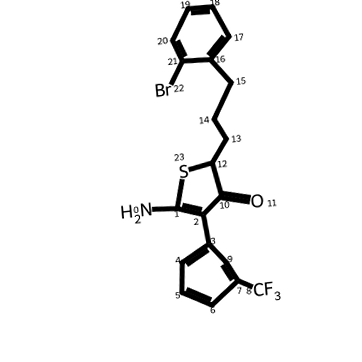 NC1=C(c2cccc(C(F)(F)F)c2)C(=O)C(CCCc2ccccc2Br)S1